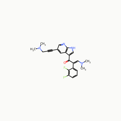 CN(C)C=C(C(=O)c1c[nH]c2ncc(C#CCN(C)C)cc12)c1cccc(F)c1F